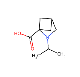 CC(C)N1CC2CC1(C(=O)O)C2